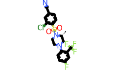 C[C@@H]1CN(c2ccc(F)cc2C(F)(F)F)CCN1S(=O)(=O)c1ccc(C#N)cc1Cl